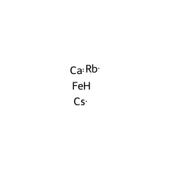 [Ca].[Cs].[FeH].[Rb]